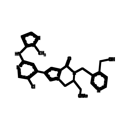 COCC1Cn2cc(-c3cc(Nc4ccnn4C)ncc3Cl)cc2C(=O)N1Cc1cnccc1CO